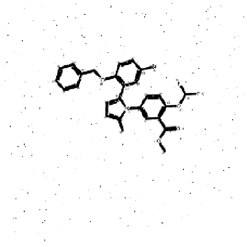 COC(=O)c1cc(-n2c(C)ccc2-c2cc(Br)ccc2OCc2ccccc2)ccc1OC(F)F